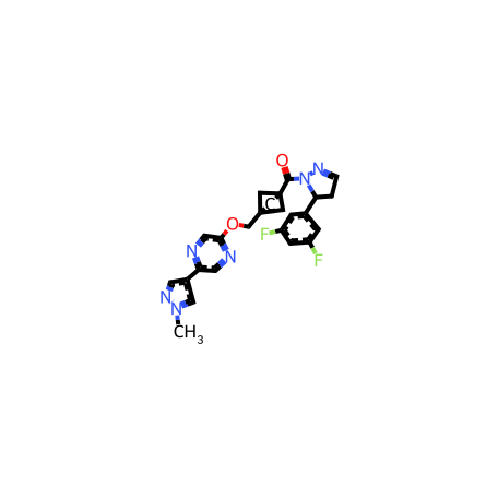 Cn1cc(-c2cnc(OCC34CC(C(=O)N5N=CCC5c5cc(F)cc(F)c5)(C3)C4)cn2)cn1